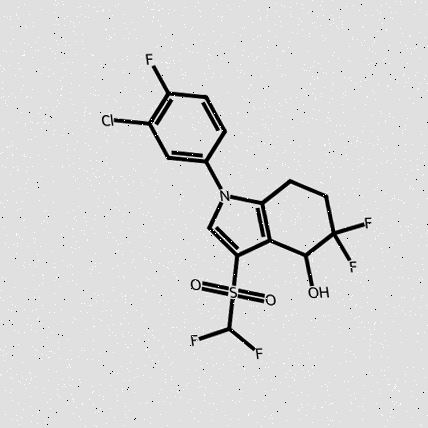 O=S(=O)(c1cn(-c2ccc(F)c(Cl)c2)c2c1C(O)C(F)(F)CC2)C(F)F